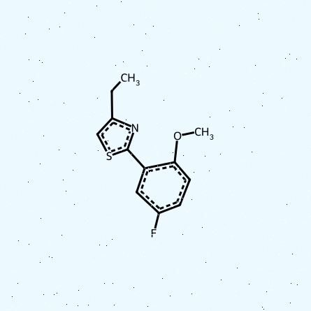 CCc1csc(-c2cc(F)ccc2OC)n1